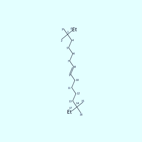 CCC(C)(C)CCCCC=CCCCCC(C)(C)CC